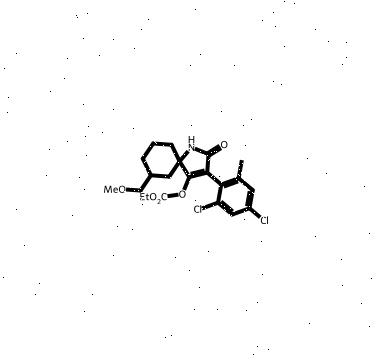 CCOC(=O)OC1=C(c2c(C)cc(Cl)cc2Cl)C(=O)NC12CCCC(COC)C2